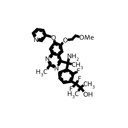 COCCOc1cc2c(C(C)(N)c3cccc(C(F)(F)C(C)(C)O)c3F)nc(C)nc2cc1Oc1cccnc1